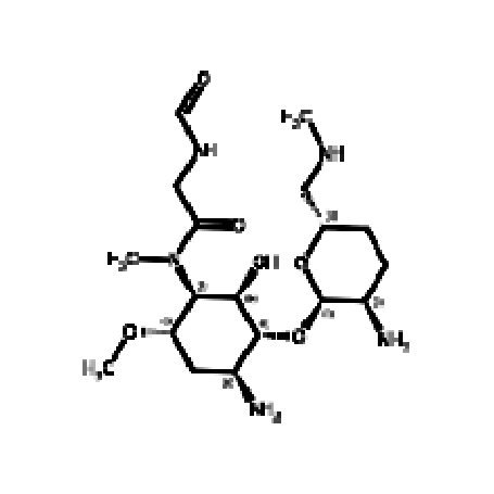 CNC[C@@H]1CC[C@@H](N)[C@@H](O[C@H]2[C@H](O)[C@H](N(C)C(=O)CNC=O)[C@@H](OC)C[C@@H]2N)O1